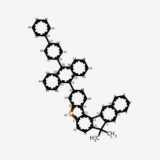 CC1(C)c2cc3ccccc3cc2-c2c1ccc1sc3cc(-c4c5ccccc5c(-c5ccc(-c6ccccc6)cc5)c5ccccc45)ccc3c21